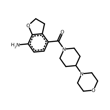 Nc1ccc(C(=O)N2CCC(N3CCOCC3)CC2)c2c1OCC2